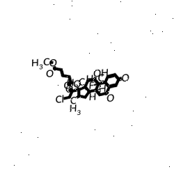 COC(=O)CCCC(=O)O[C@]1(C(=O)CCl)C(C)C[C@H]2[C@@H]3CC(=O)C4=CC(=O)C=C[C@]4(C)[C@@]3(F)C(O)C[C@@]21C